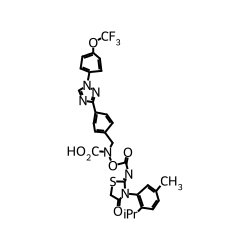 Cc1ccc(C(C)C)c(N2C(=O)CS/C2=N\C(=O)ON(Cc2ccc(-c3ncn(-c4ccc(OC(F)(F)F)cc4)n3)cc2)C(=O)O)c1